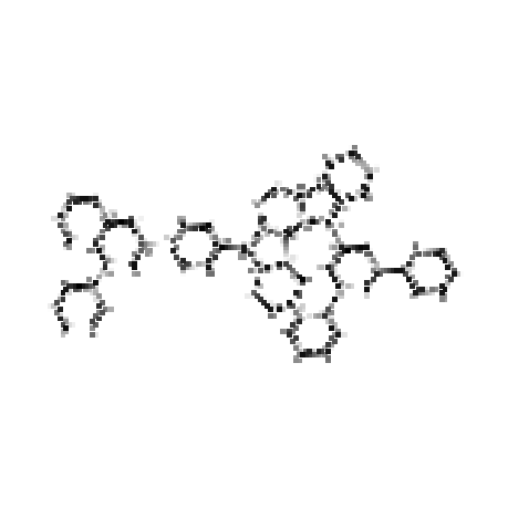 c1ccc(-c2cc(-c3ccccc3)nc(-n3c4ccccc4c4ccc5c(c6ccccc6n5-c5ccc(-c6nc(-c7ccccc7)c7ccccc7n6)cc5)c43)c2)cc1